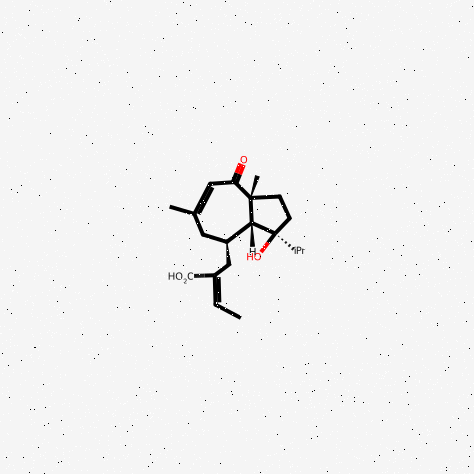 C/C=C(\C[C@H]1CC(C)=CC(=O)[C@]2(C)CC[C@](O)(C(C)C)[C@H]12)C(=O)O